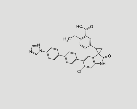 CCc1ccc(C2CC23C(=O)Nc2cc(Cl)c(-c4ccc(-c5ccc(-n6cncn6)cc5)cc4)cc23)cc1C(=O)O